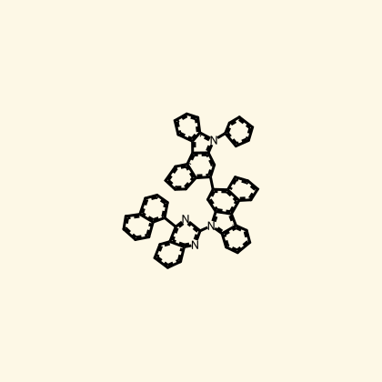 c1ccc(-n2c3ccccc3c3c4ccccc4c(-c4cc5c(c6ccccc46)c4ccccc4n5-c4nc(-c5cccc6ccccc56)c5ccccc5n4)cc32)cc1